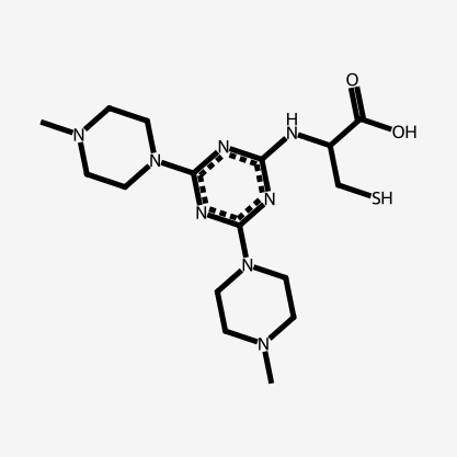 CN1CCN(c2nc(NC(CS)C(=O)O)nc(N3CCN(C)CC3)n2)CC1